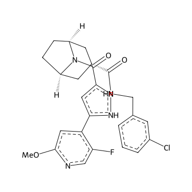 COc1cc(-c2cc(C(=O)N3[C@@H]4CC[C@H]3C[C@H](C(=O)NCc3cccc(Cl)c3)C4)n[nH]2)c(F)cn1